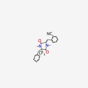 CN1C(=O)C(Cc2ccccc2)(C(F)(F)F)N(C)C(=O)C1=Cc1ccccc1C#N